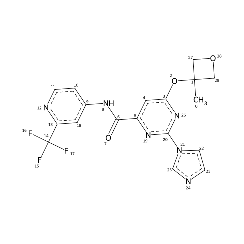 CC1(Oc2cc(C(=O)Nc3ccnc(C(F)(F)F)c3)nc(-n3ccnc3)n2)COC1